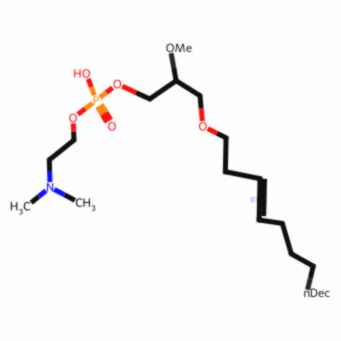 CCCCCCCCCCCCC/C=C/CCOCC(COP(=O)(O)OCCN(C)C)OC